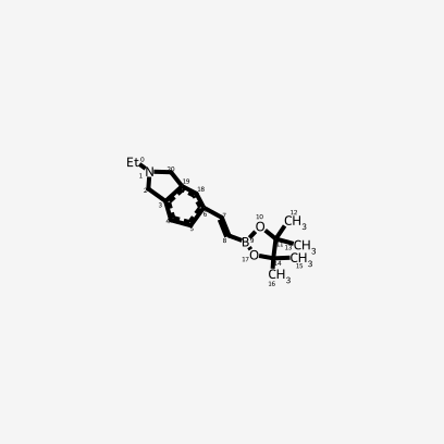 CCN1Cc2ccc(C=CB3OC(C)(C)C(C)(C)O3)cc2C1